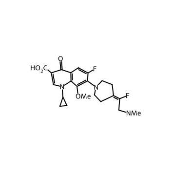 CNCC(F)=C1CCN(c2c(F)cc3c(=O)c(C(=O)O)cn(C4CC4)c3c2OC)CC1